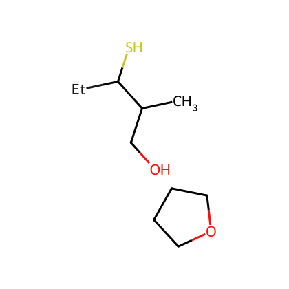 C1CCOC1.CCC(S)C(C)CO